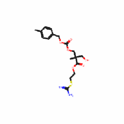 Cc1ccc(COC(=O)OCC(C)(CO)C(=O)OCCSC(=N)N)cc1